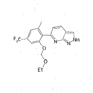 CCOCOc1cc(C(F)(F)F)cc(C)c1-c1ccc2c[nH]nc2n1